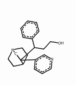 OCCC(c1ccccc1)C1(c2cccnc2)CN2CCC1CC2